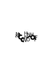 Cc1cnn(C)c1Cc1ccnc(NC(=O)C(N)C2CCC(F)(F)CC2)c1